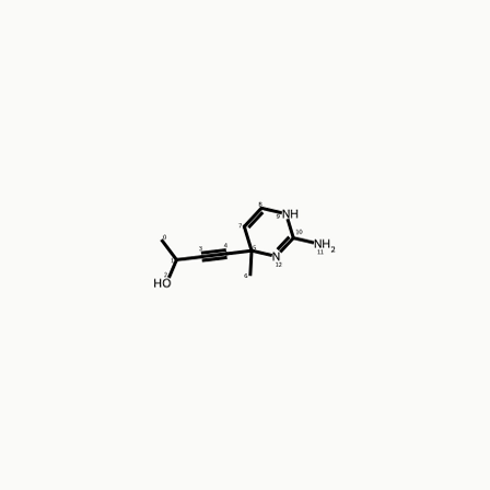 CC(O)C#CC1(C)C=CNC(N)=N1